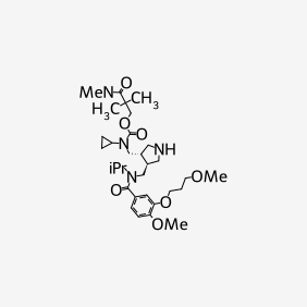 CNC(=O)C(C)(C)COC(=O)N(C[C@@H]1CNC[C@H]1CN(C(=O)c1ccc(OC)c(OCCCOC)c1)C(C)C)C1CC1